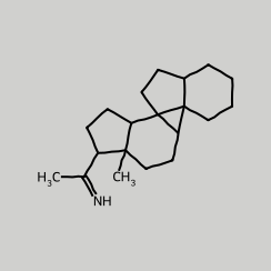 CC(=N)C1CCC2C1(C)CCC1C34CCCCC3CCC214